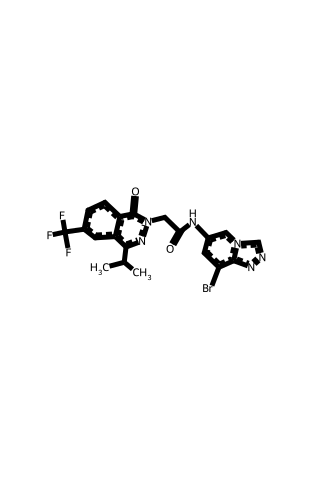 CC(C)c1nn(CC(=O)Nc2cc(Br)c3nncn3c2)c(=O)c2ccc(C(F)(F)F)cc12